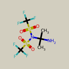 CC(C)(N)N(S(=O)(=O)C(F)(F)F)S(=O)(=O)C(F)(F)F